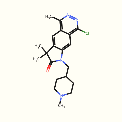 Cc1nnc(Cl)c2cc3c(cc12)C(C)(C)C(=O)N3CC1CCN(C)CC1